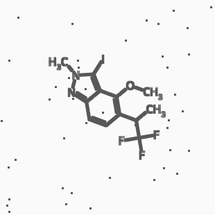 COc1c(C(C)C(F)(F)F)ccc2nn(C)c(I)c12